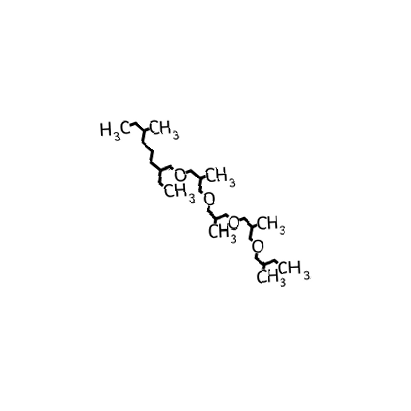 CCC(C)CCCC(CC)COCC(C)COCC(C)COCC(C)COCC(C)CC